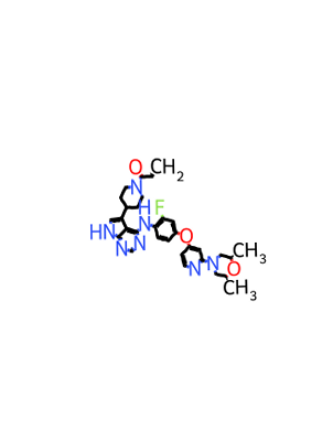 C=CC(=O)N1CCC(c2c[nH]c3ncnc(Nc4ccc(Oc5ccnc(N6C[C@@H](C)O[C@@H](C)C6)c5)cc4F)c23)CC1